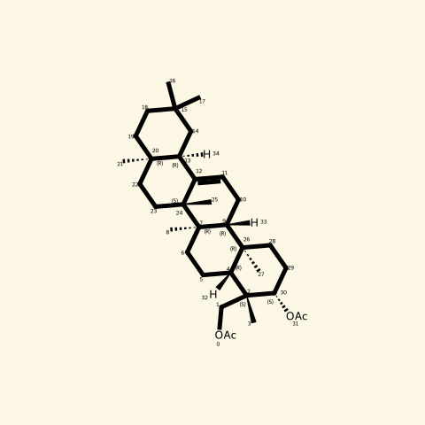 CC(=O)OC[C@]1(C)[C@@H]2CC[C@]3(C)[C@H](CC=C4[C@@H]5CC(C)(C)CC[C@]5(C)CC[C@]43C)[C@@]2(C)CC[C@@H]1OC(C)=O